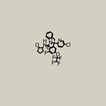 O=C(NC1CCCC1=O)N[C@@](Cc1ccccc1)(c1cc(F)cc(OC(F)(F)C(F)F)c1)c1ccc(Cl)cn1